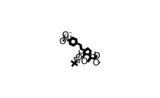 COC(=O)C1=COC(O[Si](C)(C)C(C)(C)C)[C@@H]2C(C=Cc3ccc([N+](=O)[O-])cc3)=CC[C@H]12